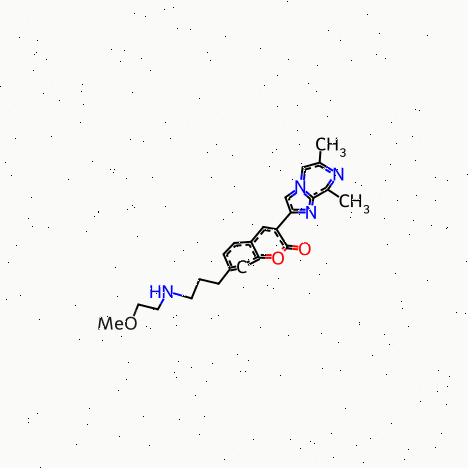 COCCNCCCc1ccc2cc(-c3cn4cc(C)nc(C)c4n3)c(=O)oc2c1